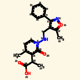 Cc1ccn(NCc2c(-c3ccccc3)noc2C)c(=O)c1C(C)C(=O)O